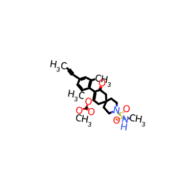 CC#Cc1cc(C)c(C2=C(OC(=O)OC)CC3(CCN(S(=O)(=O)NC)CC3)CC2=O)c(C)c1